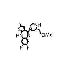 COCC[C@H]1CN(C2=Nc3cc(F)c(F)cc3Nc3sc(C)cc32)CCN1